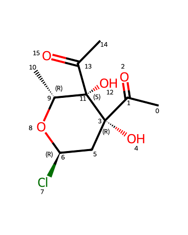 CC(=O)[C@@]1(O)C[C@@H](Cl)O[C@H](C)[C@@]1(O)C(C)=O